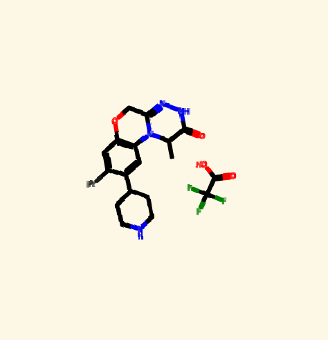 CC(C)c1cc2c(cc1C1CCNCC1)N1C(=NNC(=O)C1C)CO2.O=C(O)C(F)(F)F